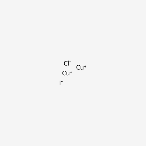 [Cl-].[Cu+].[Cu+].[I-]